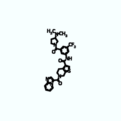 CN(C)C1CCN(C(=O)c2cc(NC(=O)c3csc4c3CCN(C(=O)c3cnc5ccccn35)C4)cc(C(F)(F)F)c2)C1